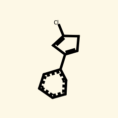 ClC1=CC(c2ccccc2)=CC1